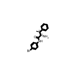 C[C@@H](c1ccccc1)[C@H](N)C(=O)Nc1ccc(Br)cc1